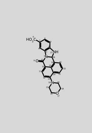 O=C(O)c1ccc2c(c1)N1C(=O)c3ccc(N4CCOCC4)c4cccc(c34)C1N2